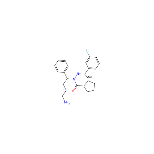 CS/C(=N\N(C(=O)C1CCCC1)C(CCCN)c1ccccc1)c1cccc(F)c1